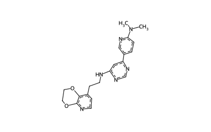 CN(C)c1ccc(-c2cc(NCCc3ccnc4c3OCCO4)ncn2)cn1